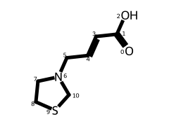 O=C(O)/C=C/CN1CCSC1